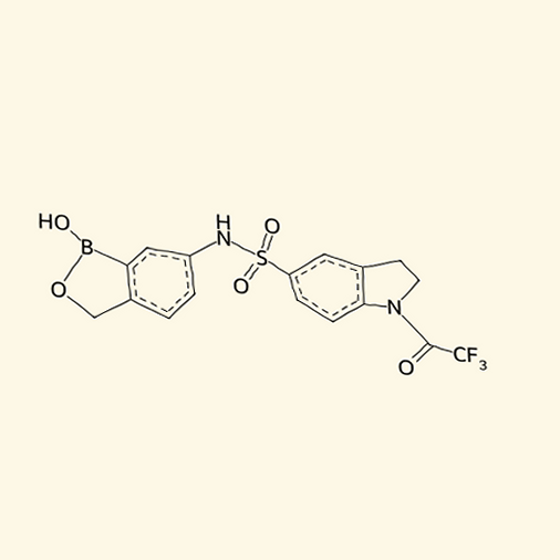 O=C(N1CCc2cc(S(=O)(=O)Nc3ccc4c(c3)B(O)OC4)ccc21)C(F)(F)F